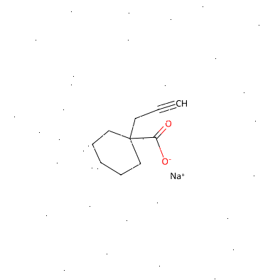 C#CCC1(C(=O)[O-])CCCCC1.[Na+]